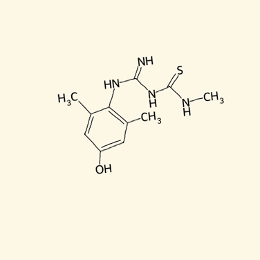 CNC(=S)NC(=N)Nc1c(C)cc(O)cc1C